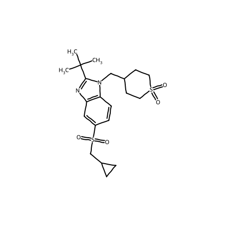 CC(C)(C)c1nc2cc(S(=O)(=O)CC3CC3)ccc2n1CC1CCS(=O)(=O)CC1